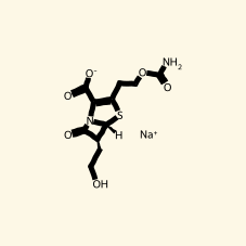 NC(=O)OCCC1=C(C(=O)[O-])N2C(=O)[C@H](CCO)[C@H]2S1.[Na+]